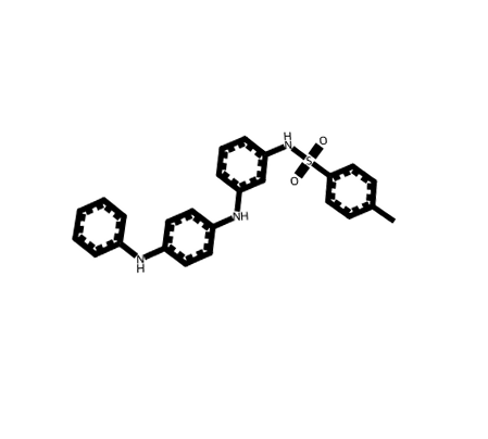 Cc1ccc(S(=O)(=O)Nc2cccc(Nc3ccc(Nc4ccccc4)cc3)c2)cc1